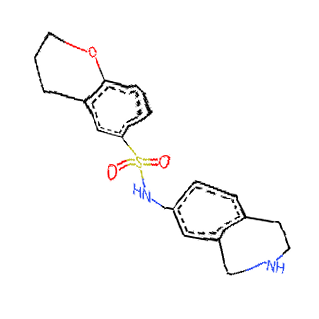 O=S(=O)(Nc1ccc2c(c1)CNCC2)c1ccc2c(c1)CCCO2